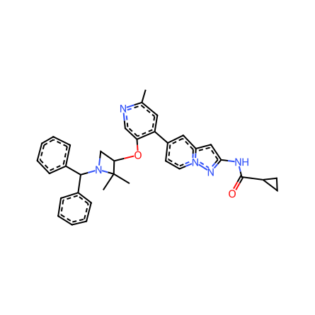 Cc1cc(-c2ccn3nc(NC(=O)C4CC4)cc3c2)c(OC2CN(C(c3ccccc3)c3ccccc3)C2(C)C)cn1